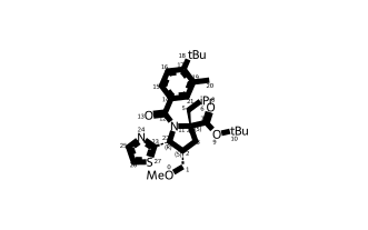 COC[C@H]1C[C@@](CC(C)C)(C(=O)OC(C)(C)C)N(C(=O)c2ccc(C(C)(C)C)c(C)c2)[C@H]1c1nccs1